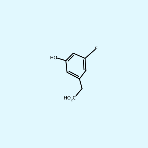 O=C(O)Cc1cc(O)cc(F)c1